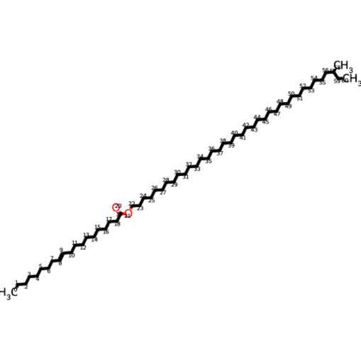 CCCCCCCCC=CCCCCCCCCCC(=O)OCCCCCCCCCCCCCCCCCCCCCCCCCCCCCCCCCCCC(C)CC